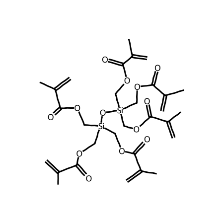 C=C(C)C(=O)OC[Si](COC(=O)C(=C)C)(COC(=O)C(=C)C)O[Si](COC(=O)C(=C)C)(COC(=O)C(=C)C)COC(=O)C(=C)C